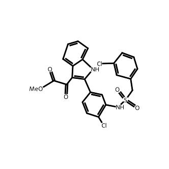 COC(=O)C(=O)c1c(-c2ccc(Cl)c(NS(=O)(=O)Cc3cccc(Cl)c3)c2)[nH]c2ccccc12